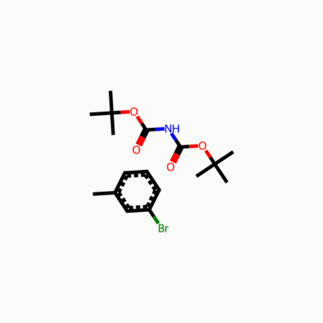 CC(C)(C)OC(=O)NC(=O)OC(C)(C)C.Cc1cccc(Br)c1